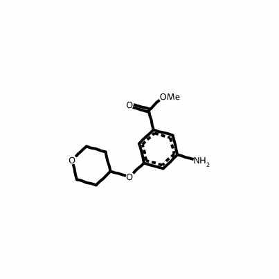 COC(=O)c1cc(N)cc(OC2CCOCC2)c1